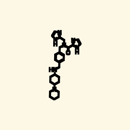 O=C(c1ncc[nH]1)N(Cc1ccc(CN[C@H]2CC[C@H](N3CCCCC3)CC2)cc1)Cc1ncc[nH]1